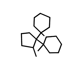 CC1CCCC1(C1(C)CCCCC1)C1(C)CCCCC1